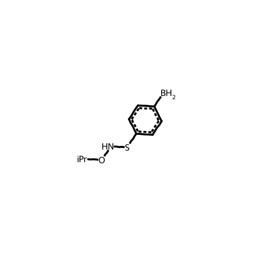 Bc1ccc(SNOC(C)C)cc1